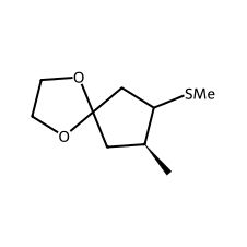 CSC1CC2(C[C@@H]1C)OCCO2